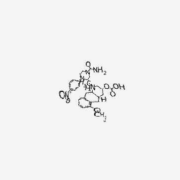 COc1cccc2c1C[C@@H]1C[C@@H](OC(=O)O)CN(C)[C@@H]1C2.NC(=O)N1CCN(c2ccc([N+](=O)[O-])cc2)CC1